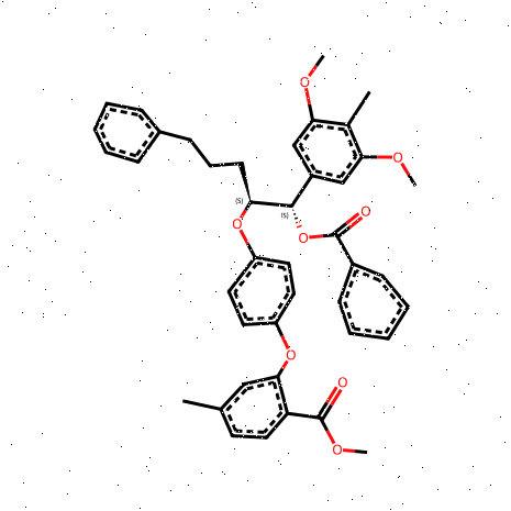 COC(=O)c1ccc(C)cc1Oc1ccc(O[C@@H](CCCc2ccccc2)[C@@H](OC(=O)c2ccccc2)c2cc(OC)c(C)c(OC)c2)cc1